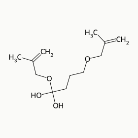 C=C(C)COCCCC(O)(O)OCC(=C)C